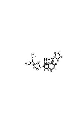 CC(O)[C@@H]1CSC(c2cc3cccc(NC4CCCC4)c3[nH]2)=N1